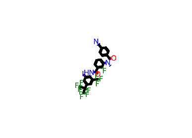 CN(C(=O)c1ccc(C#N)cc1)c1cccc(C(=O)Nc2c(I)cc(C(F)(C(F)(F)F)C(F)(F)F)cc2C(F)(F)F)c1F